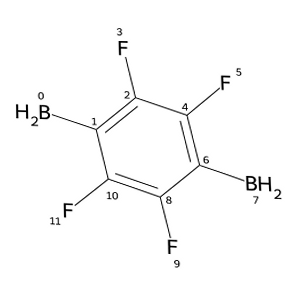 Bc1c(F)c(F)c(B)c(F)c1F